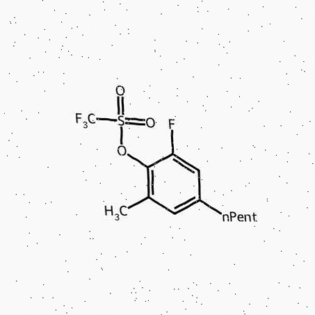 CCCCCc1cc(C)c(OS(=O)(=O)C(F)(F)F)c(F)c1